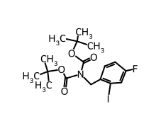 CC(C)(C)OC(=O)N(Cc1ccc(F)cc1I)C(=O)OC(C)(C)C